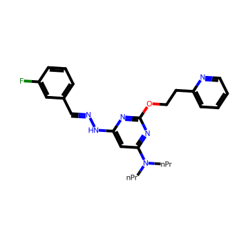 CCCN(CCC)c1cc(N/N=C/c2cccc(F)c2)nc(OCCc2ccccn2)n1